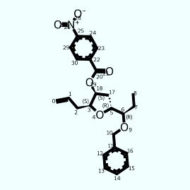 C=CC[C@@H]1O[C@@H]([C@@H](CC)OCc2ccccc2)C[C@@H]1OC(=O)c1ccc([N+](=O)[O-])cc1